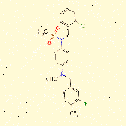 CS(=O)(=O)N(Cc1ccccc1Cl)c1ccc(N(C=O)Cc2ccc(C(F)(F)F)c(F)c2)cc1